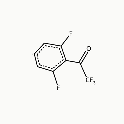 O=C(c1c(F)c[c]cc1F)C(F)(F)F